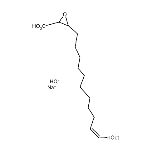 CCCCCCCC/C=C\CCCCCCCCCC1OC1C(=O)O.[Na+].[OH-]